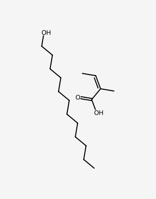 CC=C(C)C(=O)O.CCCCCCCCCCCCO